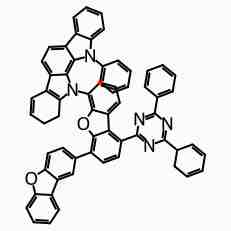 C1=CCC(c2nc(-c3ccccc3)nc(-c3ccc(-c4ccc5oc6ccccc6c5c4)c4oc5c(-n6c7c(c8ccc9c%10ccccc%10n(-c%10ccccc%10)c9c86)C=CCC7)cccc5c34)n2)C=C1